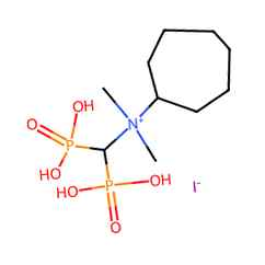 C[N+](C)(C1CCCCCC1)C(P(=O)(O)O)P(=O)(O)O.[I-]